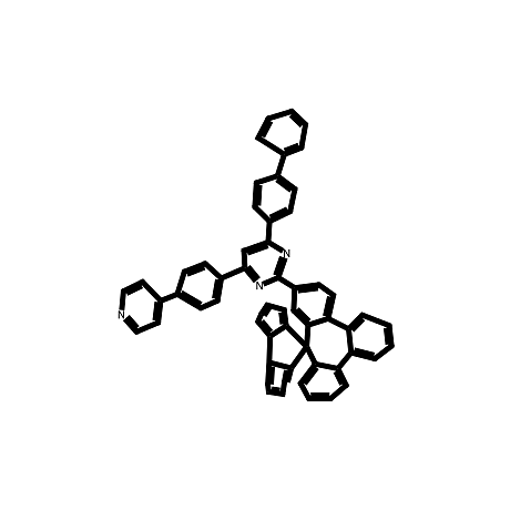 c1ccc(-c2ccc(-c3cc(-c4ccc(-c5ccncc5)cc4)nc(-c4ccc5c(c4)C4(c6ccccc6-c6ccccc6-5)c5ccccc5-c5ccccc54)n3)cc2)cc1